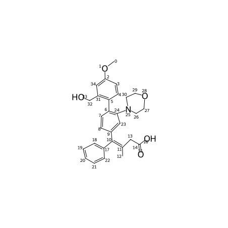 COc1ccc(-c2ccc(/C(=C(/C)CC(=O)O)c3ccccc3)cc2N2CCOCC2)c(CO)c1